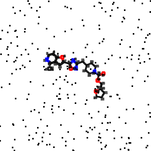 N#Cc1nccc2oc(-c3nc(CC4CCN(C(=O)OC[C@H]5CCCO5)CC4)no3)cc12